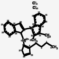 CCCCC1=[C]([Hf+2][CH]2C(n3c(C)c(C)c4ccccc43)=Cc3ccccc32)CC=C1.[Cl-].[Cl-]